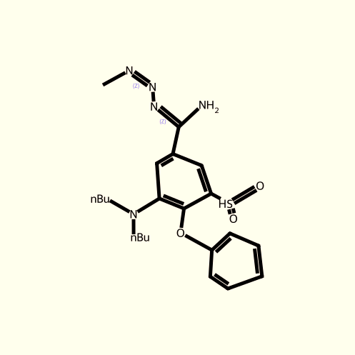 CCCCN(CCCC)c1cc(/C(N)=N/N=N\C)cc([SH](=O)=O)c1Oc1ccccc1